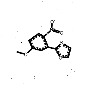 COc1ccc([N+](=O)[O-])c(-c2ncco2)c1